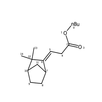 CCCCOC(=O)CC=C1C2CCC(C2)C1(C)C